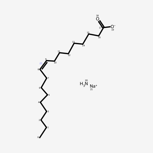 CCCCCCCC/C=C\CCCCCCCC(=O)[O-].N.[Na+]